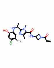 C=CC(=O)N1CC(NC(=O)c2c(C)nc(C(C)Nc3cc(C(C)(C)C)c(Cl)cc3O)n2C)C1